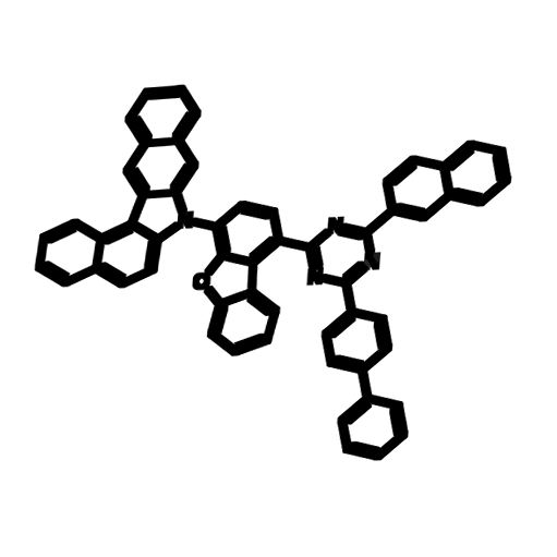 c1ccc(-c2ccc(-c3nc(-c4ccc5ccccc5c4)nc(-c4ccc(-n5c6cc7ccccc7cc6c6c7ccccc7ccc65)c5oc6ccccc6c45)n3)cc2)cc1